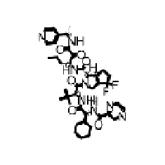 CCC[C@H](NC(=O)[C@@H]1[C@H]2CCC(F)(F)C2CN1C(=O)[C@@H](NC(=O)[C@@H](NC(=O)c1cnccn1)C1CCCCC1)C(C)(C)C)C(=O)C(=O)N[C@@H](C)c1ccncc1